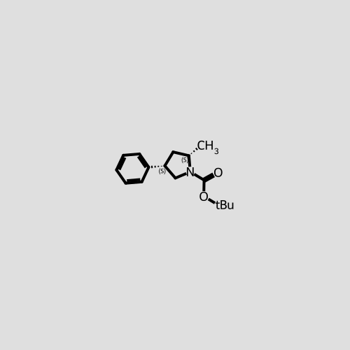 C[C@H]1C[C@@H](c2ccccc2)CN1C(=O)OC(C)(C)C